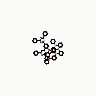 c1ccc(-c2ccc3c(c2)c2ccccc2n3-c2ccc(-c3nc(-c4ccccc4)nc(-c4ccccc4)n3)cc2-c2cc(-c3ccccc3)nc(-c3cccc(-c4cccc(N5c6ccccc6B6c7ccccc7N(c7ccccc7)c7cccc5c76)c4)c3)n2)cc1